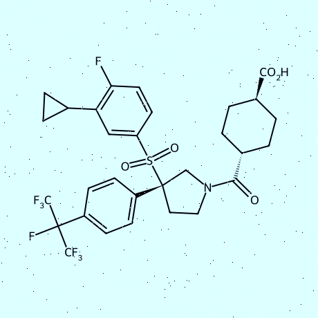 O=C(O)[C@H]1CC[C@H](C(=O)N2CC[C@](c3ccc(C(F)(C(F)(F)F)C(F)(F)F)cc3)(S(=O)(=O)c3ccc(F)c(C4CC4)c3)C2)CC1